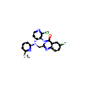 Cc1cccc(NCc2nc3ccc(F)cc3c(=O)n2-c2cccnc2Cl)n1